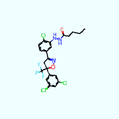 CCCCC(=O)NNc1cc(C2=NOC(c3cc(Cl)cc(Cl)c3)(C(F)(F)F)C2)ccc1Cl